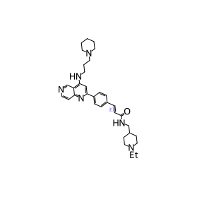 CCN1CCC(CNC(=O)/C=C/c2ccc(-c3cc(NCCCN4CCCCC4)c4cnccc4n3)cc2)CC1